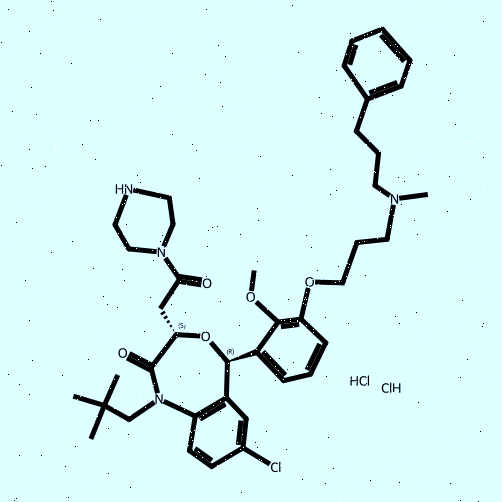 COc1c(OCCCN(C)CCCc2ccccc2)cccc1[C@@H]1O[C@@H](CC(=O)N2CCNCC2)C(=O)N(CC(C)(C)C)c2ccc(Cl)cc21.Cl.Cl